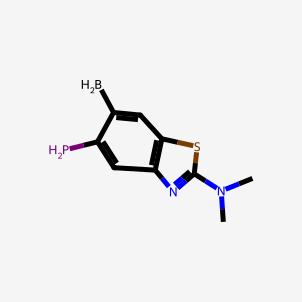 Bc1cc2sc(N(C)C)nc2cc1P